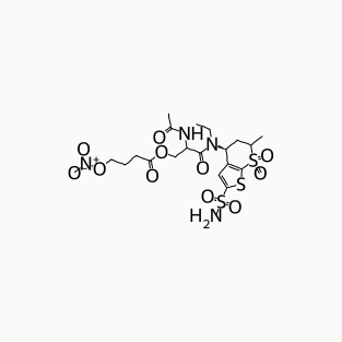 CCN(C(=O)C(COC(=O)CCCO[N+](=O)[O-])NC(C)=O)[C@H]1CC(C)S(=O)(=O)c2sc(S(N)(=O)=O)cc21